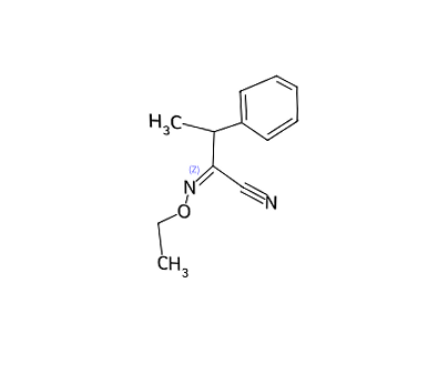 CCO/N=C(\C#N)C(C)c1ccccc1